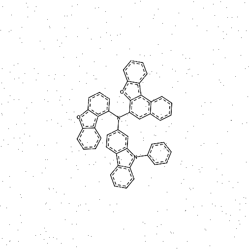 c1ccc(-n2c3ccccc3c3ccc(N(c4cc5ccccc5c5c4oc4ccccc45)c4cccc5oc6ccccc6c45)cc32)cc1